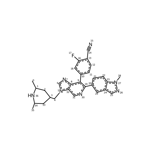 CC1CC(Cn2cnc3c(-c4ccc(C#N)c(F)c4)c(-c4ccc5c(cnn5C)c4)ncc32)CC(C)N1